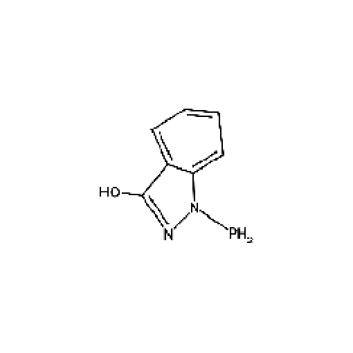 Oc1nn(P)c2ccccc12